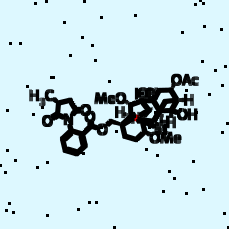 CCN1C[C@]2(COC(=O)c3ccccc3N3C(=O)C[C@H](C)C3=O)CC[C@H](OC)[C@]34C1[C@](O)([C@@H](OC)[C@H]23)[C@@]1(O)C[C@H](OC(C)=O)[C@H]2C[C@@H]4[C@@H]1[C@H]2O